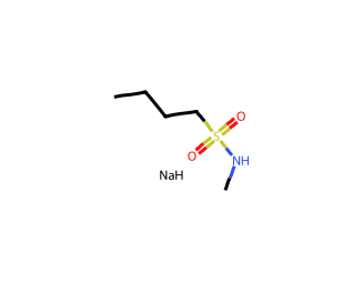 CCCCS(=O)(=O)NC.[NaH]